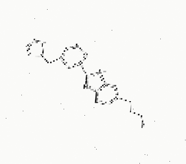 FCCCc1ccc2nc(-c3cncc(Cn4ccnc4)c3)[nH]c2c1